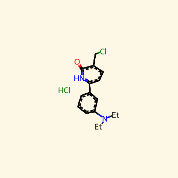 CCN(CC)c1cccc(-c2ccc(CCl)c(=O)[nH]2)c1.Cl